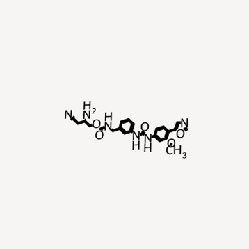 COc1cc(NC(=O)Nc2cccc(CNC(=O)OC[C@@H](N)CC#N)c2)ccc1-c1cnco1